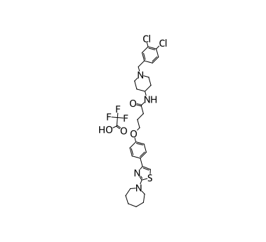 O=C(CCCOc1ccc(-c2csc(N3CCCCCC3)n2)cc1)NC1CCN(Cc2ccc(Cl)c(Cl)c2)CC1.O=C(O)C(F)(F)F